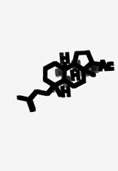 C=C(C)CC[C@]1(C)CCC[C@H]2[C@H]1CC[C@]1(C)[C@@H]2CC[C@H]1C(C)=O